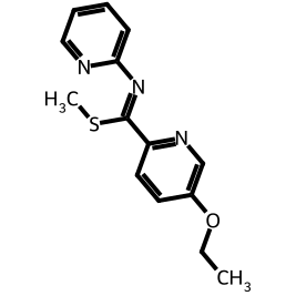 CCOc1ccc(C(=Nc2ccccn2)SC)nc1